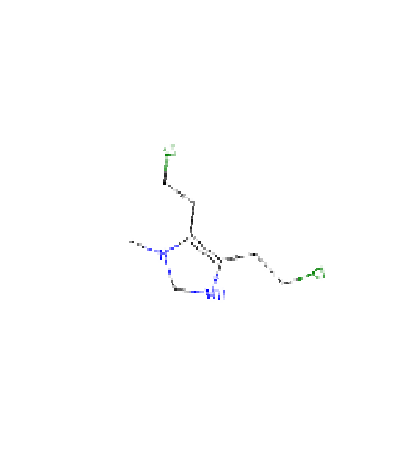 CN1CNC(CCCl)=C1CCCl